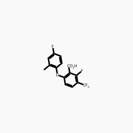 Cc1cc(F)ccc1Oc1ccc(C(F)(F)F)c(F)c1C(=O)O